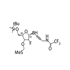 CSCOC1C(F)[C@H](BC#CCNC(=O)C(F)(F)F)O[C@@H]1CO[Si](C)(C)C(C)(C)C